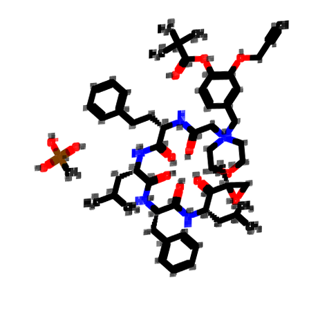 C#CCOc1cc(C[N+]2(CC(=O)N[C@@H](CCc3ccccc3)C(=O)N[C@@H](CC(C)C)C(=O)N[C@@H](Cc3ccccc3)C(=O)N[C@@H](CC(C)C)C(=O)[C@@]3(C)CO3)CCOCC2)ccc1OC(=O)C(C)(C)C.CS(=O)(=O)[O-]